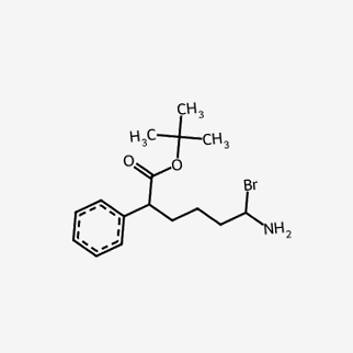 CC(C)(C)OC(=O)C(CCCC(N)Br)c1ccccc1